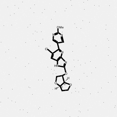 COc1ncc(-c2nc3nc(OC4CO[C@@H]5CCO[C@H]45)[nH]c3cc2Cl)cn1